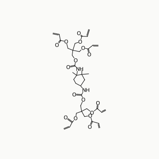 C=CC(=O)OCC(COC(=O)C=C)(COC(=O)C=C)COC(=O)NC1CCC(C)(NC(=O)OCC(COC(=O)C=C)(COC(=O)C=C)COC(=O)C=C)C(C)(C)C1